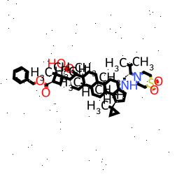 CC(C)[C@@H](CN[C@]12CC[C@@H](C3(C)CC3)[C@@H]1[C@H]1CC[C@@H]3[C@]4(C)CC[C@H]([C@@]5(C(=O)O)C[C@@H](C(=O)OCc6ccccc6)C5(C)C)C(C)(C)[C@H]4CC[C@@]3(C)[C@]1(C)CC2)N1CCS(=O)(=O)CC1